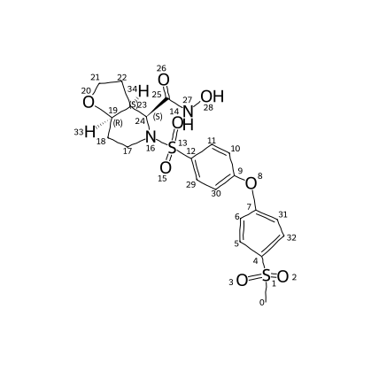 CS(=O)(=O)c1ccc(Oc2ccc(S(=O)(=O)N3CC[C@H]4OCC[C@H]4[C@H]3C(=O)NO)cc2)cc1